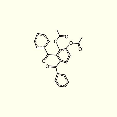 CC(=O)Oc1ccc(C(=O)c2ccccc2)c(C(=O)c2ccccc2)c1OC(C)=O